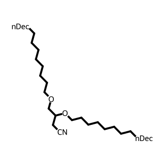 CCCCCCCCCCCCCCCCCCOCC(CC#N)OCCCCCCCCCCCCCCCCCC